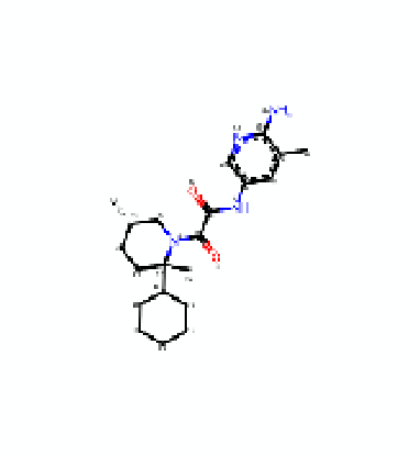 Cc1cc(NC(=O)C(=O)N2C[C@@H](C)CC[C@@]2(C)C2CCCCC2)cnc1N